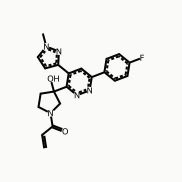 C=CC(=O)N1CCC(O)(c2nnc(-c3ccc(F)cc3)cc2-c2ccn(C)n2)C1